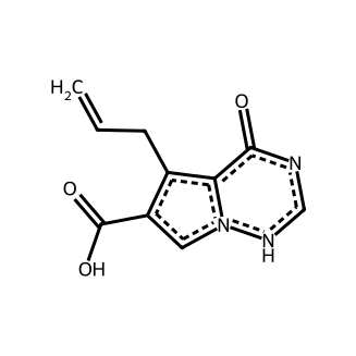 C=CCc1c(C(=O)O)cn2[nH]cnc(=O)c12